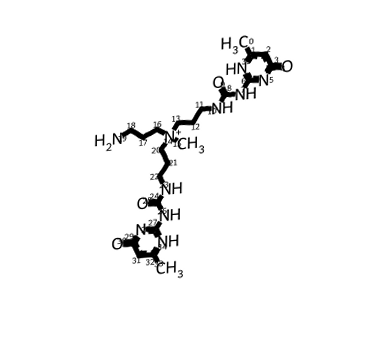 Cc1cc(=O)nc(NC(=O)NCCC[N+](C)(CCCN)CCCNC(=O)Nc2nc(=O)cc(C)[nH]2)[nH]1